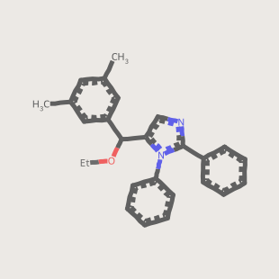 CCOC(c1cc(C)cc(C)c1)c1cnc(-c2ccccc2)n1-c1ccccc1